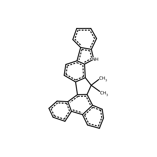 CC1(C)c2c(c3ccccc3c3ccccc23)-c2ccc3c([nH]c4ccccc43)c21